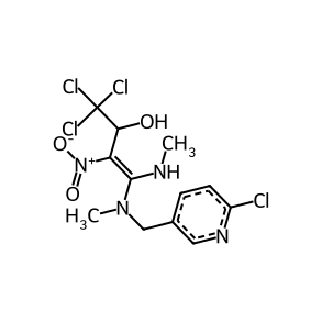 CN/C(=C(\C(O)C(Cl)(Cl)Cl)[N+](=O)[O-])N(C)Cc1ccc(Cl)nc1